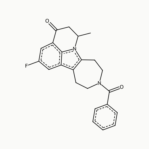 CC1CC(=O)c2cc(F)cc3c4c(n1c23)CCN(C(=O)c1ccccc1)CC4